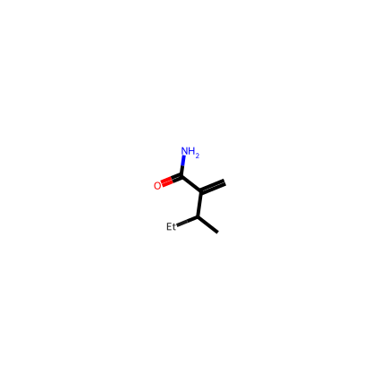 C=C(C(N)=O)C(C)CC